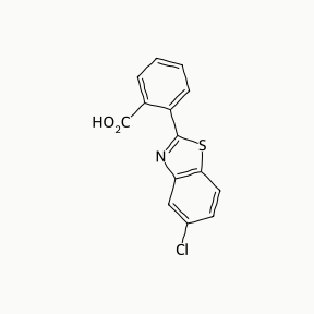 O=C(O)c1ccccc1-c1nc2cc(Cl)ccc2s1